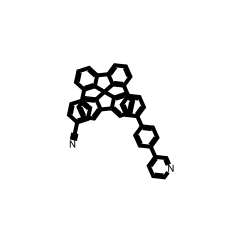 N#Cc1ccc(-c2cccc3c2C2(c4ccccc4-c4ccccc42)c2c(-c4ccc(-c5ccc(-c6cccnc6)cc5)cc4)cccc2-3)cc1